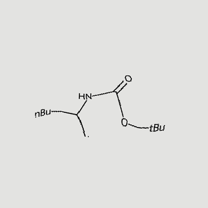 [CH2]C(CCCC)NC(=O)OC(C)(C)C